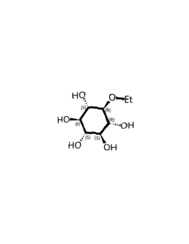 CCO[C@H]1[C@H](O)[C@@H](O)[C@H](O)[C@@H](O)[C@@H]1O